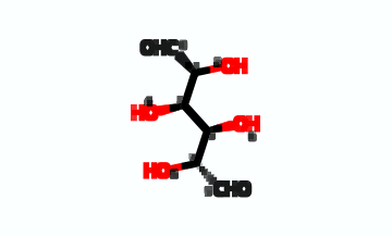 O=C[C@@H](O)[C@H](O)[C@@H](O)[C@@H](O)C=O